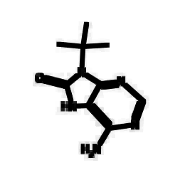 CC(C)(C)n1c(=O)[nH]c2c(N)ncnc21